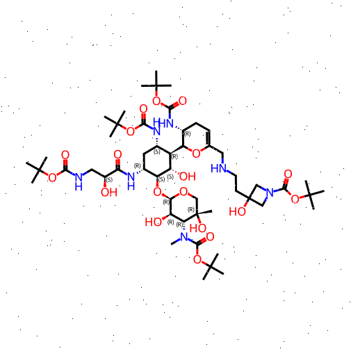 CN(C(=O)OC(C)(C)C)[C@@H]1[C@@H](O)[C@@H](O[C@@H]2[C@@H](O)[C@H](C3OC(CNCCC4(O)CN(C(=O)OC(C)(C)C)C4)=CC[C@H]3NC(=O)OC(C)(C)C)[C@@H](NC(=O)OC(C)(C)C)C[C@H]2NC(=O)[C@@H](O)CNC(=O)OC(C)(C)C)OC[C@]1(C)O